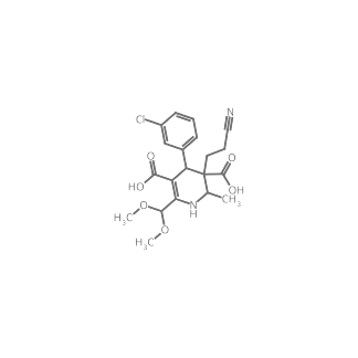 COC(OC)C1=C(C(=O)O)C(c2cccc(Cl)c2)C(CCC#N)(C(=O)O)C(C)N1